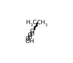 CC(C)CCCOOOOOO